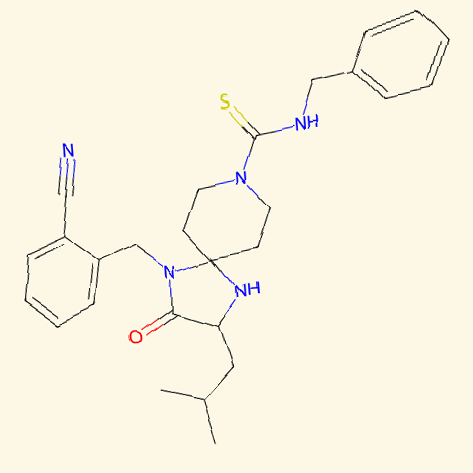 CC(C)CC1NC2(CCN(C(=S)NCc3ccccc3)CC2)N(Cc2ccccc2C#N)C1=O